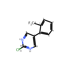 FC(F)(F)c1ccccc1-c1cnc(Cl)nc1